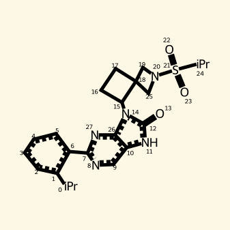 CC(C)c1ccccc1-c1ncc2[nH]c(=O)n(C3CCC34CN(S(=O)(=O)C(C)C)C4)c2n1